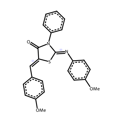 COc1ccc(/C=C2\S/C(=N\c3ccc(OC)cc3)N(c3ccccc3)C2=O)cc1